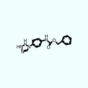 O=C(Nc1ccc(N2C=NNN2)cc1)OCc1ccccc1